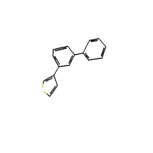 c1ccc(-c2cccc(-c3ccsc3)c2)cc1